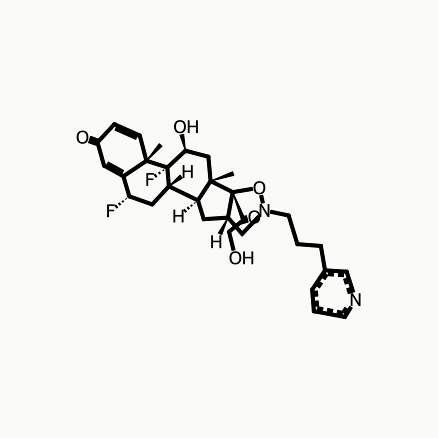 C[C@]12C=CC(=O)C=C1[C@@H](F)C[C@H]1[C@@H]3C[C@H]4CN(CCCc5cccnc5)O[C@@]4(C(=O)CO)[C@@]3(C)C[C@H](O)[C@@]12F